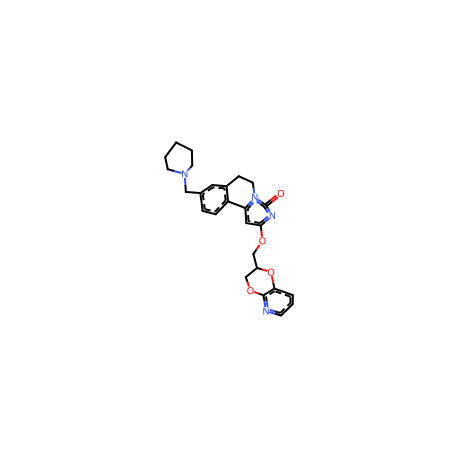 O=c1nc(OCC2COc3ncccc3O2)cc2n1CCc1cc(CN3CCCCC3)ccc1-2